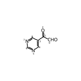 O=CC(=O)c1cncnc1